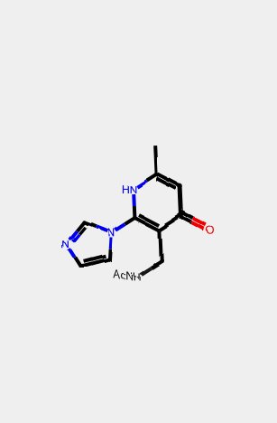 CC(=O)NCc1c(-n2ccnc2)[nH]c(C)cc1=O